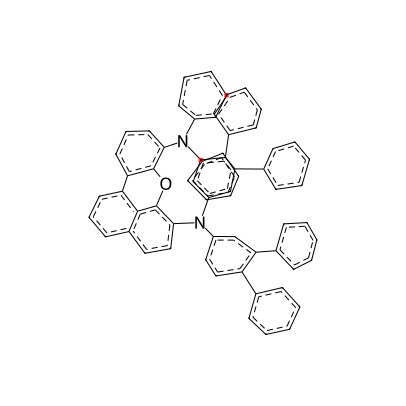 c1ccc(-c2ccc(N(c3ccc(-c4ccccc4)c(-c4ccccc4)c3)c3ccc4cccc5c4c3Oc3c-5cccc3N(c3ccccc3)c3ccccc3)cc2-c2ccccc2)cc1